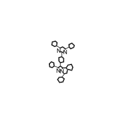 c1ccc(-c2cc(-c3ccccc3)nc(-c3ccc(-c4c(-c5ccccc5)nn5c(-c6ccccc6)cc6ccccc6c45)cc3)n2)cc1